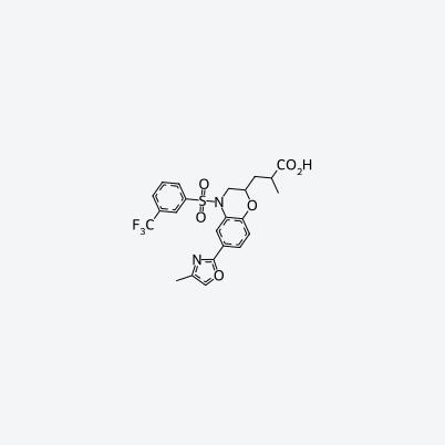 Cc1coc(-c2ccc3c(c2)N(S(=O)(=O)c2cccc(C(F)(F)F)c2)CC(CC(C)C(=O)O)O3)n1